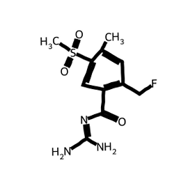 Cc1cc(CF)c(C(=O)N=C(N)N)cc1S(C)(=O)=O